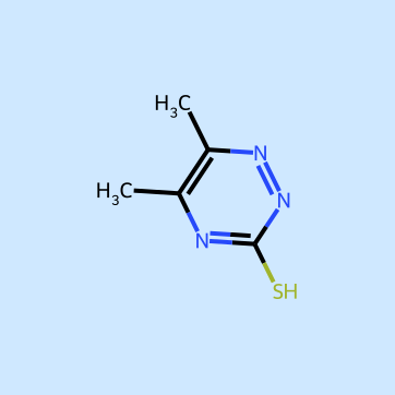 Cc1nnc(S)nc1C